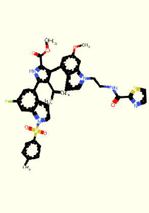 COC(=O)c1[nH]c(-c2cc(F)cc3c2ccn3S(=O)(=O)c2ccc(C)cc2)c(C(C)C)c1-c1cc(OC)cc2c1ccn2CCNC(=O)c1nccs1